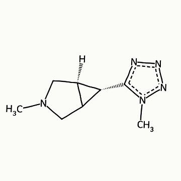 CN1CC2[C@@H](C1)[C@@H]2c1nnnn1C